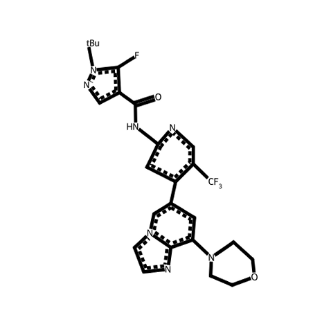 CC(C)(C)n1ncc(C(=O)Nc2cc(-c3cc(N4CCOCC4)c4nccn4c3)c(C(F)(F)F)cn2)c1F